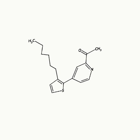 CCCCCCc1ccsc1-c1ccnc(C(C)=O)c1